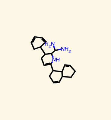 NC(N)C1NC(C2CC=CC3CCC=CC32)=CCC1C1C=CC=CC1